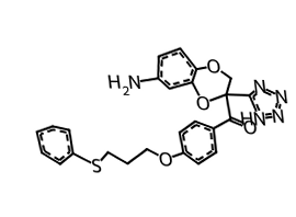 Nc1ccc2c(c1)OC(C(=O)c1ccc(OCCCSc3ccccc3)cc1)(c1nnn[nH]1)CO2